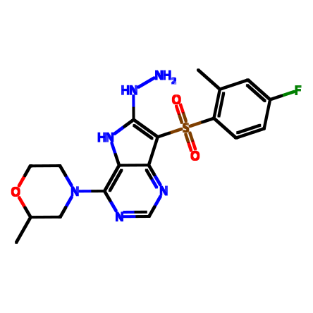 Cc1cc(F)ccc1S(=O)(=O)c1c(NN)[nH]c2c(N3CCOC(C)C3)ncnc12